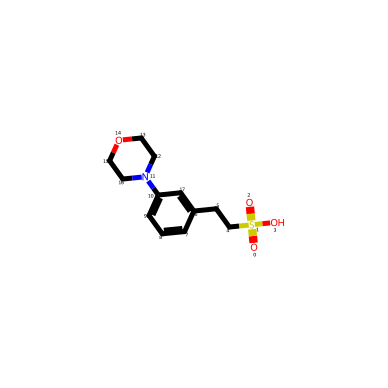 O=S(=O)(O)CCc1cccc(N2CCOCC2)c1